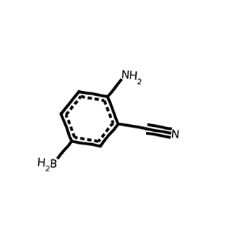 Bc1ccc(N)c(C#N)c1